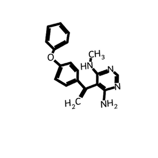 C=C(c1ccc(Oc2ccccc2)cc1)c1c(N)ncnc1NC